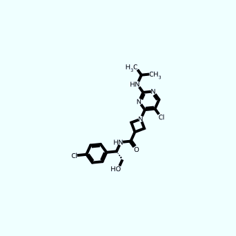 CC(C)Nc1ncc(Cl)c(N2CC(C(=O)N[C@H](CO)c3ccc(Cl)cc3)C2)n1